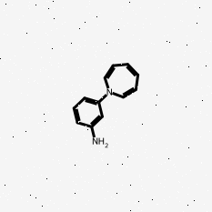 Nc1cccc(N2C=CC=CC=C2)c1